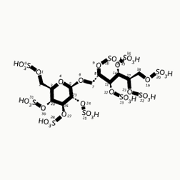 O=S(=O)(O)OC[C@H]1O[C@@H](OC[C@H](OS(=O)(=O)O)[C@@H](OS(=O)(=O)O)[C@H](OS(=O)(=O)O)[C@@H](COS(=O)(=O)O)OS(=O)(=O)O)[C@H](OS(=O)(=O)O)[C@@H](OS(=O)(=O)O)[C@@H]1OS(=O)(=O)O